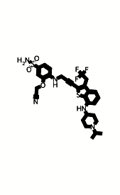 CC(C)N1CCC(Nc2cccc3c(CC(F)(F)F)c(C#CCNc4ccc(S(N)(=O)=O)cc4OCC#N)sc23)CC1